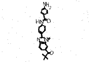 Cn1c(-c2ccc(NC(=O)c3ccc(N)cc3)cc2)nc2ccc(C(=O)C(C)(C)C)cc21